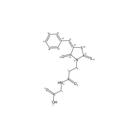 O=C(O)CNC(=O)CCN1C(=O)/C(=C\c2ccccc2)SC1=S